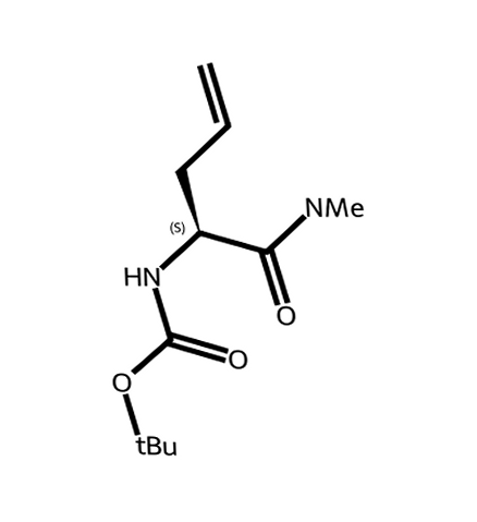 C=CC[C@H](NC(=O)OC(C)(C)C)C(=O)NC